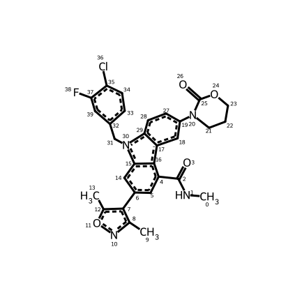 CNC(=O)c1cc(-c2c(C)noc2C)cc2c1c1cc(N3CCCOC3=O)ccc1n2Cc1ccc(Cl)c(F)c1